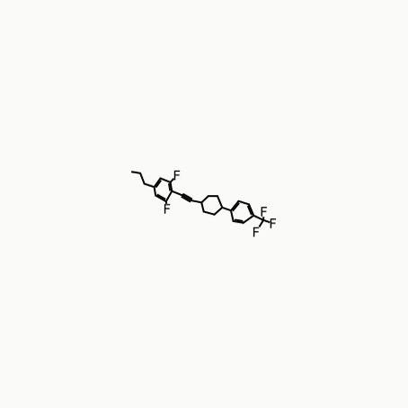 CCCc1cc(F)c(C#CC2CCC(c3ccc(C(F)(F)F)cc3)CC2)c(F)c1